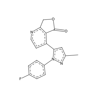 Cc1cc(-c2ccnc3c2C(=O)OC3)n(-c2ccc(F)cc2)n1